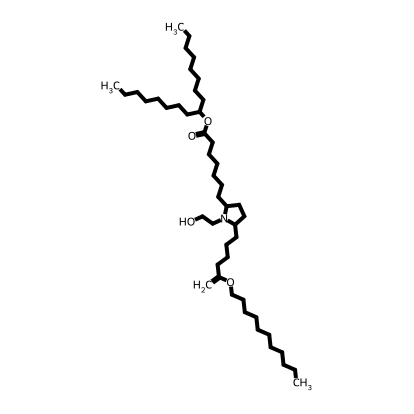 C=C(CCCCC1CCC(CCCCCCC(=O)OC(CCCCCCCC)CCCCCCCC)N1CCO)OCCCCCCCCCCC